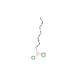 CCCCCCCB(Cl)Cl